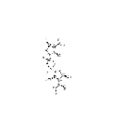 C=C(C)N1C(=O)CC([Si](C)(C)O[Si](C)(C)C2CC(=O)N(C(=O)CC)C2=O)C1=O